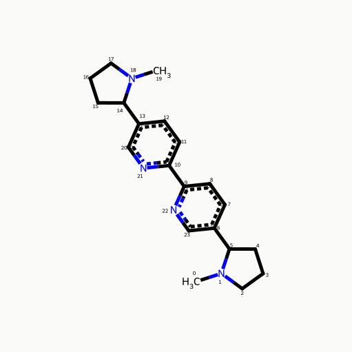 CN1CCCC1c1ccc(-c2ccc(C3CCCN3C)cn2)nc1